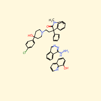 CN(C)C(=O)C(CCN1CCC(O)(c2ccc(Cl)cc2)CC1)(c1ccccc1)c1ccccc1.NNc1nncc2ccccc12.Oc1cccc2cccnc12